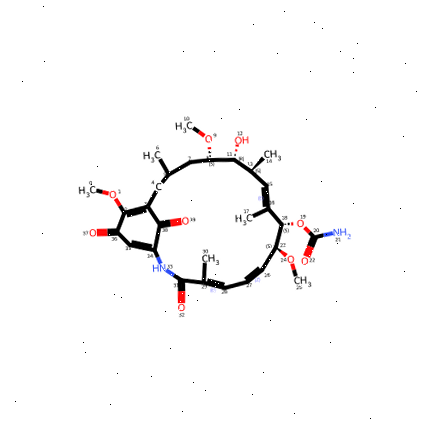 COC1=C2CC(C)C[C@H](OC)[C@H](O)[C@@H](C)/C=C(\C)[C@H](OC(N)=O)[C@@H](OC)/C=C\C=C(/C)C(=O)NC(=CC1=O)C2=O